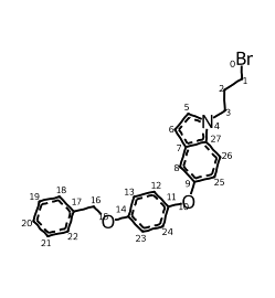 BrCCCn1ccc2cc(Oc3ccc(OCc4ccccc4)cc3)ccc21